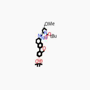 COC[C@H]1C[C@@H](c2nc3c([nH]2)-c2cc4c(cc2CC3)-c2ccc(B3OC(C)(C)C(C)(C)O3)cc2CO4)N(C(=O)OC(C)(C)C)C1